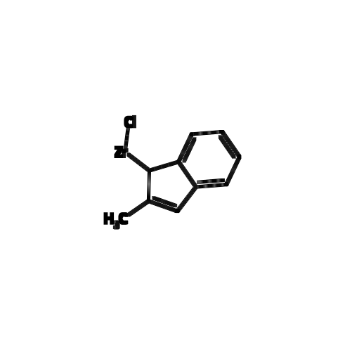 CC1=Cc2ccccc2[CH]1[Zr][Cl]